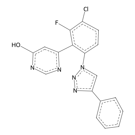 Oc1cc(-c2c(-n3cc(-c4ccccc4)nn3)ccc(Cl)c2F)ncn1